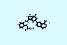 Cc1cc(-c2ccc3ccnc(N)c3c2)cc2c(COc3ccccc3CC(=O)O)coc12